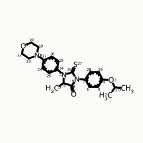 CC(C)Oc1ccc(N2C(=O)C(C)N(c3ccc(N4CCOCC4)cc3)C2=S)cc1